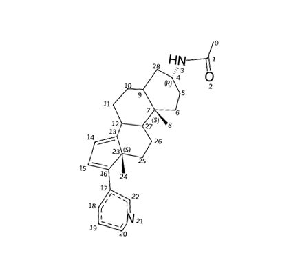 CC(=O)N[C@@H]1CC[C@@]2(C)C(CCC3C4=CC=C(c5cccnc5)[C@@]4(C)CCC32)C1